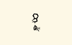 CN1C[C@]2(c3cc4ccccc4s3)C3C1[C@@H]32